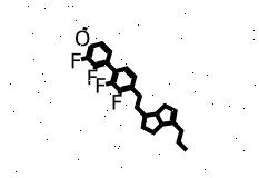 CCCC1=CCC2C(CCc3ccc(-c4ccc(OC)c(F)c4F)c(F)c3F)CCC12